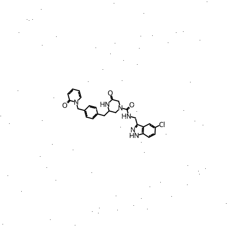 O=C1CN(C(=O)NCc2n[nH]c3ccc(Cl)cc23)CC(Cc2ccc(Cn3ccccc3=O)cc2)N1